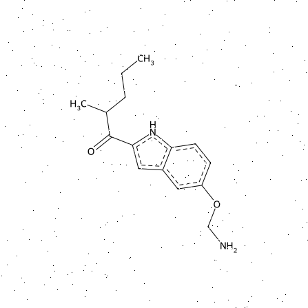 CCCC(C)C(=O)c1cc2cc(OCN)ccc2[nH]1